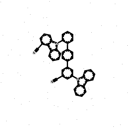 N#Cc1cc(-c2ccc(-c3ccccc3-n3c4ccccc4c4c(C#N)cccc43)cc2)cc(-n2c3ccccc3c3ccccc32)c1